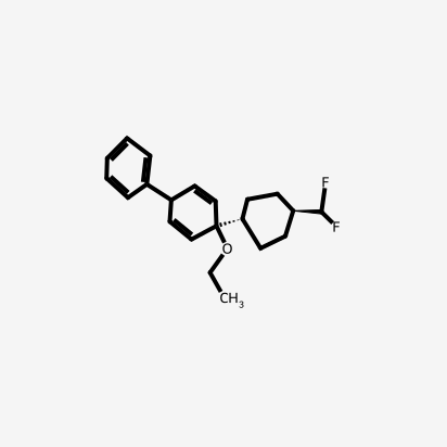 CCOC1([C@H]2CC[C@H](C(F)F)CC2)C=CC(c2ccccc2)C=C1